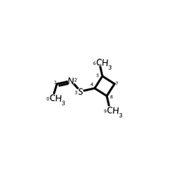 C/C=N\SC1C(C)CC1C